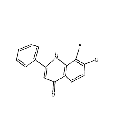 O=c1cc(-c2ccccc2)[nH]c2c(F)c(Cl)ccc12